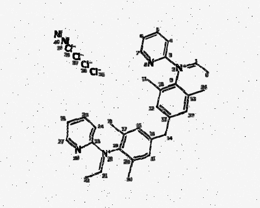 CC=[N+](c1ccccn1)c1c(C)cc(Cc2cc(C)c([N+](=CC)c3ccccn3)c(C)c2)cc1C.[Cl-].[Cl-].[Cl-].[Cl-].[Ni].[Ni]